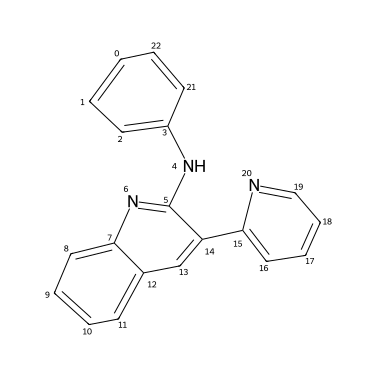 c1ccc(Nc2nc3ccccc3cc2-c2ccccn2)cc1